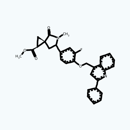 COC(=O)[C@H]1C[C@@]12CC(c1ccc(OCc3cc(-c4ccccc4)nc4ccccc34)c(F)c1)N(C)C2=O